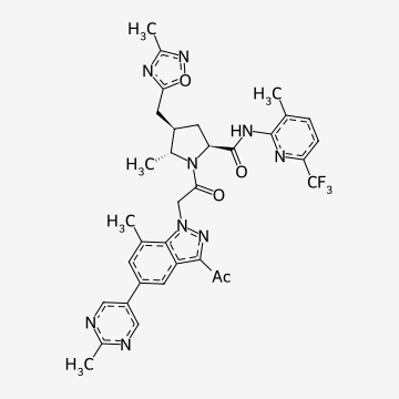 CC(=O)c1nn(CC(=O)N2[C@H](C)[C@@H](Cc3nc(C)no3)C[C@H]2C(=O)Nc2nc(C(F)(F)F)ccc2C)c2c(C)cc(-c3cnc(C)nc3)cc12